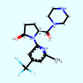 Cc1cc(C(F)(F)F)cc(N2C(=O)CC[C@H]2C(=O)N2CCNCC2)n1